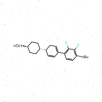 CCCCCCCC[C@H]1CC[C@H](C2C=CC(c3ccc(CCCC)c(F)c3F)=CC2)CC1